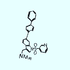 CNCc1cn(S(=O)(=O)c2cccnc2)c2cc(-c3ccc(-c4ccccc4)cc3)ccc12